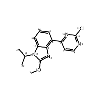 COc1nc2c(-c3ccnc(Cl)n3)cccc2n1C(C)C